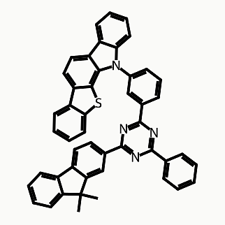 CC1(C)c2ccccc2-c2ccc(-c3nc(-c4ccccc4)nc(-c4cccc(-n5c6ccccc6c6ccc7c8ccccc8sc7c65)c4)n3)cc21